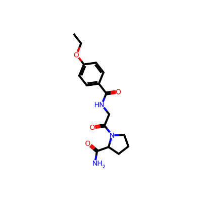 CCOc1ccc(C(=O)NCC(=O)N2CCCC2C(N)=O)cc1